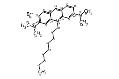 CCCCCCCCC[n+]1c2cc(N(C)C)ccc2cc2ccc(N(C)C)cc21.[Br-]